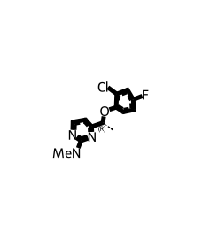 CNc1nccc([C@@H](C)Oc2ccc(F)cc2Cl)n1